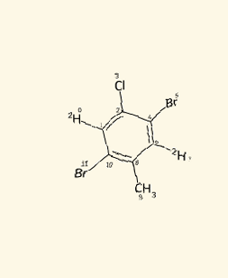 [2H]c1c(Cl)c(Br)c([2H])c(C)c1Br